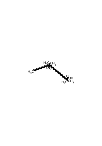 CCCCCCCCCCCCC(CCCCCCCCCCCCCCC(C(=O)O)C(C)C)(C(=O)O)C(C)C